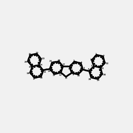 c1ccc2c(-c3ccc4c(c3)Cc3cc(-c5cccc6ccccc56)ccc3-4)cccc2c1